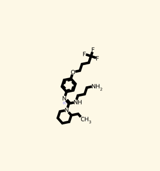 CCC1CCCCN1/C(=N/c1ccc(OCCCC(F)(F)F)cc1)NCCCN